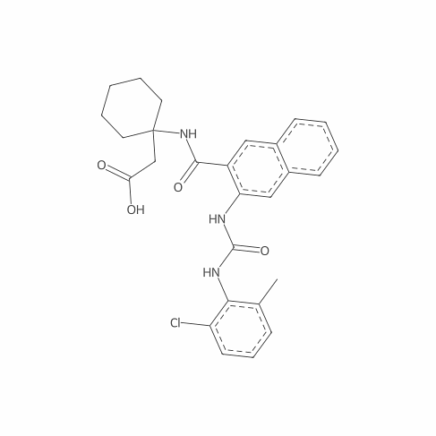 Cc1cccc(Cl)c1NC(=O)Nc1cc2ccccc2cc1C(=O)NC1(CC(=O)O)CCCCC1